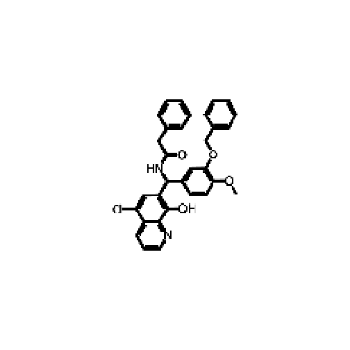 COc1ccc(C(NC(=O)Cc2ccccc2)c2cc(Cl)c3cccnc3c2O)cc1OCc1ccccc1